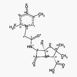 Cc1cn(CC(=O)NC2C(=O)N3[C@@H]2SC(C)(C)[C@@H]3C(=O)O)c(C)cc1=O